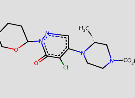 C[C@@H]1CN(C(=O)O)CCN1c1cnn(C2CCCCO2)c(=O)c1Cl